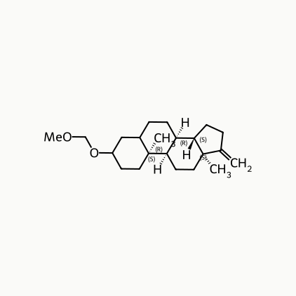 C=C1CC[C@H]2[C@@H]3CCC4CC(OCOC)CC[C@]4(C)[C@@H]3CC[C@]12C